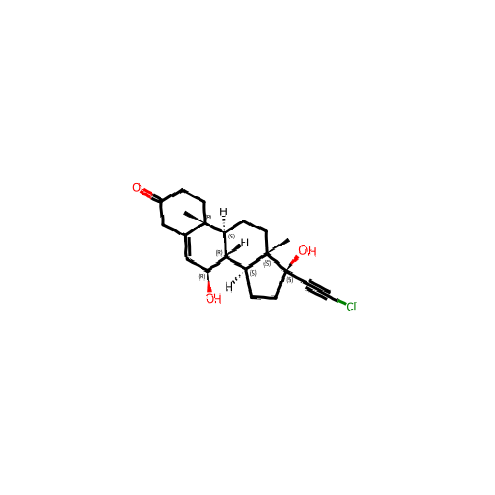 C[C@]12CCC(=O)CC1=C[C@H](O)[C@@H]1[C@@H]2CC[C@@]2(C)[C@H]1CC[C@@]2(O)C#CCl